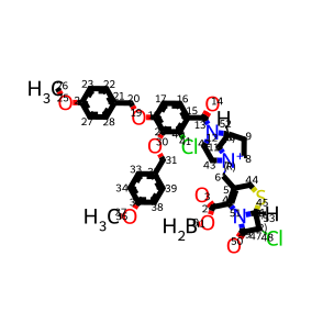 BOC(=O)C1=C(C[N@@+]23CC[C@@H](C2)N(C(=O)c2ccc(OCc4ccc(OC)cc4)c(OCc4ccc(OC)cc4)c2Cl)CC3)CS[C@@H]2[C@H](Cl)C(=O)N12